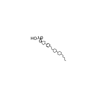 C=C(CO)C(=O)OC1CCC(c2ccc(CCC3CCC(C4CCC(CCCCC)CC4)CC3)cc2)CC1